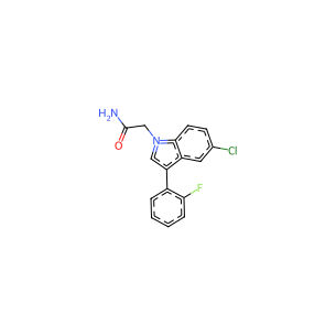 NC(=O)Cn1cc(-c2ccccc2F)c2cc(Cl)ccc21